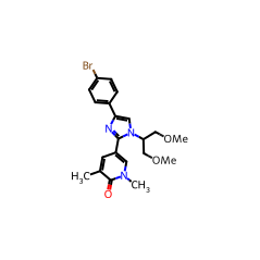 COCC(COC)n1cc(-c2ccc(Br)cc2)nc1-c1cc(C)c(=O)n(C)c1